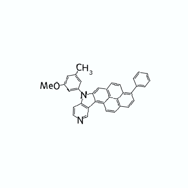 COc1cc(C)cc(-n2c3ccncc3c3c4ccc5ccc(-c6ccccc6)c6ccc(cc32)c4c56)c1